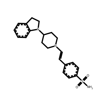 NS(=O)(=O)c1ccc(C=CN2CCC(N3CCc4ccccc43)CC2)cc1